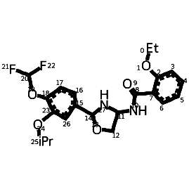 CCOc1ccccc1C(=O)NC1COC(c2ccc(OC(F)F)c(OC(C)C)c2)N1